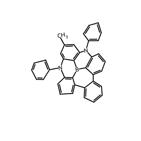 Cc1cc2c3c(c1)N(c1ccccc1)c1cccc4c1B3c1c(cccc1N2c1ccccc1)-c1ccccc1-4